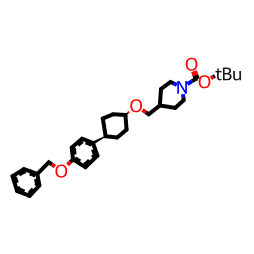 CC(C)(C)OC(=O)N1CCC(CO[C@H]2CC[C@H](c3ccc(OCc4ccccc4)cc3)CC2)CC1